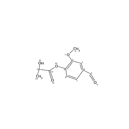 COc1cc(C=O)ccc1OC(=O)C(C)O